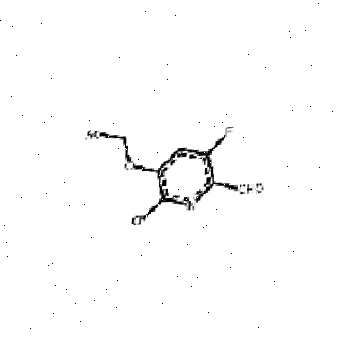 CC(=O)COc1cc(F)c(C=O)nc1Cl